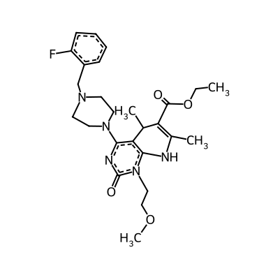 CCOC(=O)C1=C(C)Nc2c(c(N3CCN(Cc4ccccc4F)CC3)nc(=O)n2CCOC)C1C